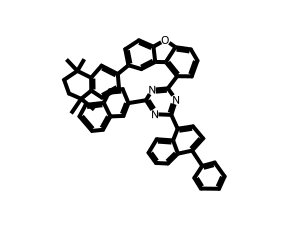 CC1(C)CCC(C)(C)c2cc(-c3ccc4oc5cccc(-c6nc(-c7ccc8ccccc8c7)nc(-c7ccc(-c8ccccc8)c8ccccc78)n6)c5c4c3)ccc21